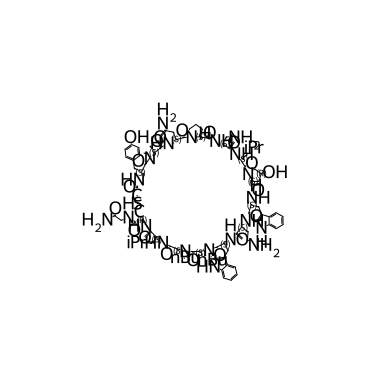 CCCC[C@H]1C(=O)N(C)[C@@H](CCCC)C(=O)N[C@@H](CC(C)C)C(=O)N[C@H](C(=O)NCC(N)=O)CSCC(=O)N[C@@H](Cc2ccc(O)cc2)C(=O)N(C)[C@@H](C)C(=O)N[C@@H](CC(N)=O)C(=O)N2CCC[C@H]2C(=O)N[C@@H](CN)C(=O)N[C@@H](CC(C)C)C(=O)N2C[C@H](O)C[C@H]2C(=O)N[C@@H](Cc2c[nH]c3ccccc23)C(=O)N[C@@H](CCN)C(=O)N[C@@H](Cc2c[nH]c3ccccc23)C(=O)N1C